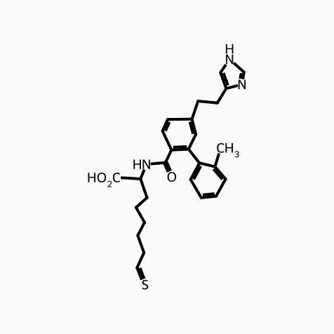 Cc1ccccc1-c1cc(CCc2c[nH]cn2)ccc1C(=O)NC(CCCCCC=S)C(=O)O